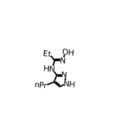 CCCc1c[nH]nc1NC(CC)=NO